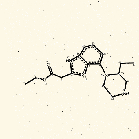 CCOC(=O)Cc1nc2c(N3CCNCC3CC)cccc2[nH]1